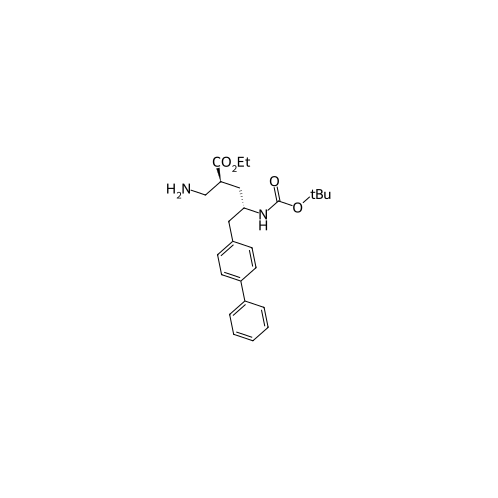 CCOC(=O)[C@H](CN)C[C@@H](Cc1ccc(-c2ccccc2)cc1)NC(=O)OC(C)(C)C